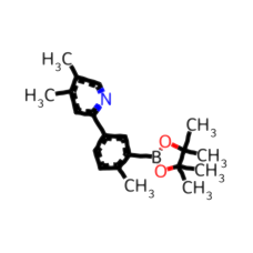 Cc1cnc(-c2ccc(C)c(B3OC(C)(C)C(C)(C)O3)c2)cc1C